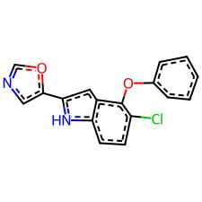 Clc1ccc2[nH]c(-c3cnco3)cc2c1Oc1ccccc1